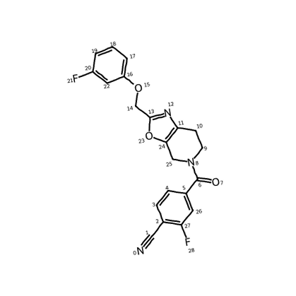 N#Cc1ccc(C(=O)N2CCc3nc(COc4cccc(F)c4)oc3C2)cc1F